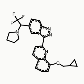 FC(F)(F)C(c1ccc2nnc(-c3ccc4cccc(OCC5CC5)c4n3)n2c1)N1CCCC1